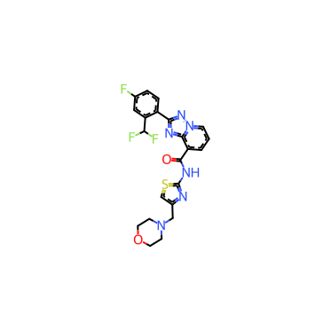 O=C(Nc1nc(CN2CCOCC2)cs1)c1cccn2nc(-c3ccc(F)cc3C(F)F)nc12